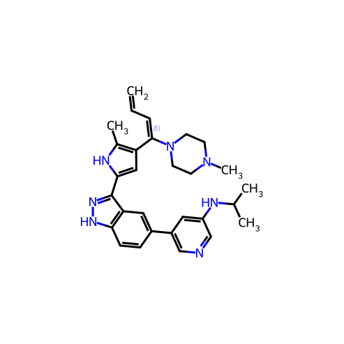 C=C/C=C(\c1cc(-c2n[nH]c3ccc(-c4cncc(NC(C)C)c4)cc23)[nH]c1C)N1CCN(C)CC1